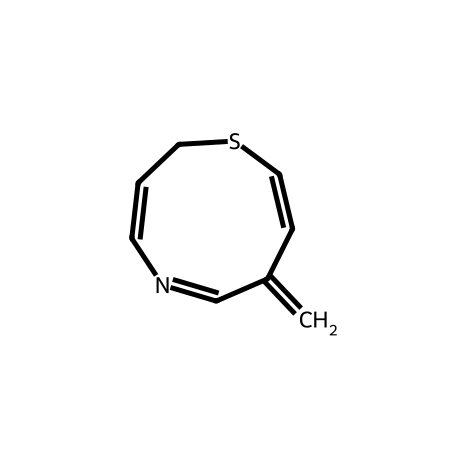 C=C1/C=C\SC/C=C\N=C/1